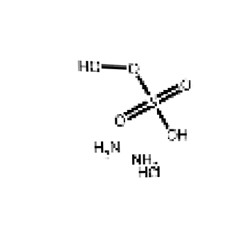 Cl.N.N.O=S(=O)(O)OO